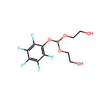 OCCOB(OCCO)Oc1c(F)c(F)c(F)c(F)c1F